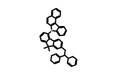 CC1(C)c2cc(CC(C3=CCCC=C3)C3C=CC=CC3)ccc2-c2c(-n3c4ccccc4c4c5ccccc5ccc43)cccc21